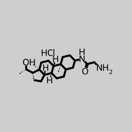 C[C@H](O)[C@H]1CC[C@H]2[C@@H]3CCC4CC(NC(=O)CN)CC[C@]4(C)[C@H]3CC[C@]12C.Cl